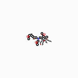 CCCCCCCC1(CCCCCCC)c2ccccc2-c2c1c1c(c3c2oc2ccccc23)-c2ccc(N(c3ccc4c(c3)C(C)(C)c3cc5c(cc3-4)C(C)(C)c3ccc4oc6ccccc6c4c3-5)c3ccc4c(c3)oc3ccccc34)cc2C1(CCCCCCC)CCCCCCC